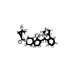 O=C(C1CC1(F)F)N1CCC2(CCC(C3c4ccccc4-c4cncn43)C2O)CC1